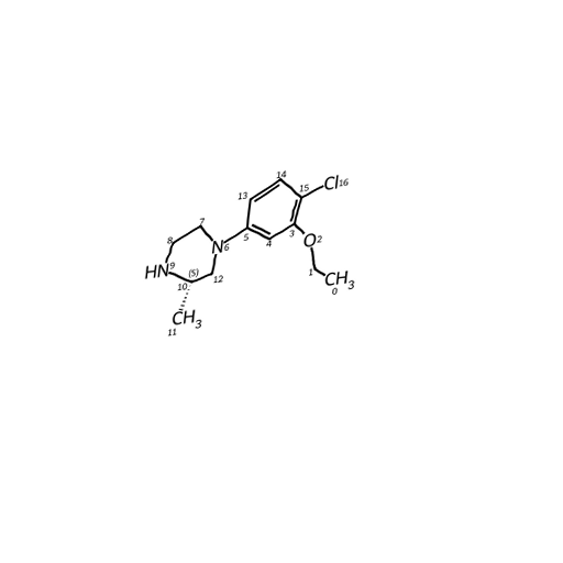 CCOc1cc(N2CCN[C@@H](C)C2)ccc1Cl